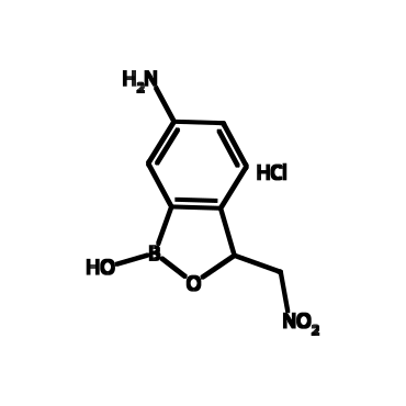 Cl.Nc1ccc2c(c1)B(O)OC2C[N+](=O)[O-]